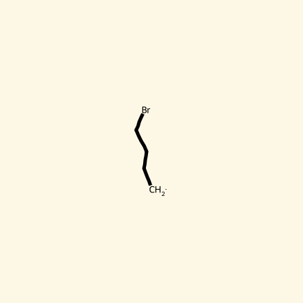 [CH2]CCCBr